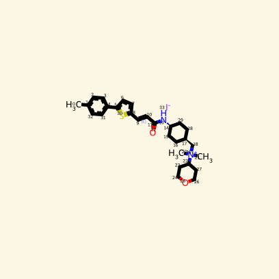 Cc1ccc(-c2ccc(/C=C/C(=O)N[C@H]3CC[C@H](C[N+](C)(C)C4CCOCC4)CC3)s2)cc1.[I-]